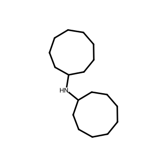 C1CCCCC(NC2CCCCCCCC2)CCC1